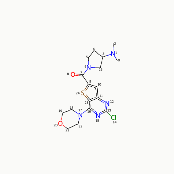 CN(C)C1CCN(C(=O)c2cc3nc(Cl)nc(N4CCOCC4)c3s2)C1